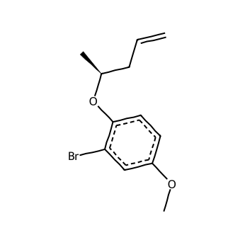 C=CC[C@H](C)Oc1ccc(OC)cc1Br